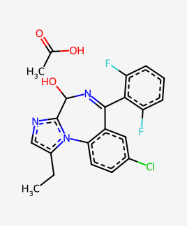 CC(=O)O.CCc1cnc2n1-c1ccc(Cl)cc1C(c1c(F)cccc1F)=NC2O